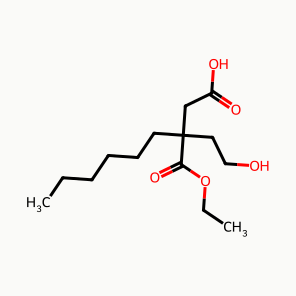 CCCCCCC(CCO)(CC(=O)O)C(=O)OCC